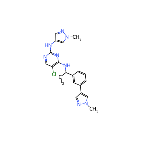 [CH2][C](Nc1nc(Nc2cnn(C)c2)ncc1Cl)c1cccc(-c2cnn(C)c2)c1